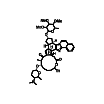 CC[C@H]1CCC[C@H](O[C@H]2CC[C@H](N(C)C)C(C)O2)[C@@H](C)C(=O)C2=C[C@H]3[C@@H]4C[C@H](O[C@@H]5OC(C)[C@H](OC)C(OC)C5OC)C[C@H]4c4c(nc5c6ccccc6ccn45)[C@H]3[C@@H]2CC(=O)O1